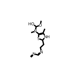 C=N/C=N\CCC1NC(C)=C(N(C)C(O)OC)S1